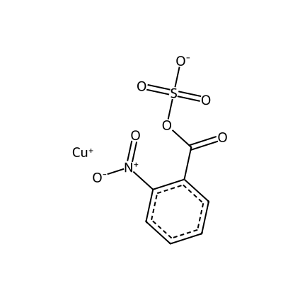 O=C(OS(=O)(=O)[O-])c1ccccc1[N+](=O)[O-].[Cu+]